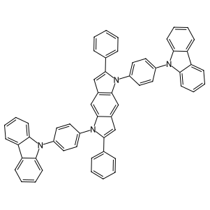 c1ccc(-c2cc3cc4c(cc(-c5ccccc5)n4-c4ccc(-n5c6ccccc6c6ccccc65)cc4)cc3n2-c2ccc(-n3c4ccccc4c4ccccc43)cc2)cc1